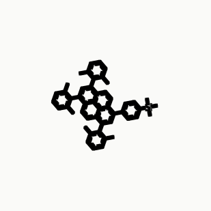 Cc1cccc(C)c1-c1cc(-c2ccc([Si](C)(C)C)cc2)c2ccc3c(-c4c(C)cccc4C)cc(-c4c(C)cccc4C)c4ccc1c2c34